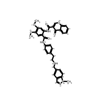 COc1cc(NC(=O)c2coc3ccccc3c2=O)c(C(=O)Nc2ccc(CCNCc3ccc4c(cnn4C)c3)cc2)cc1OC